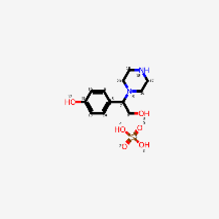 O=S(=O)(O)O.OCC(c1ccc(O)cc1)N1CCNCC1